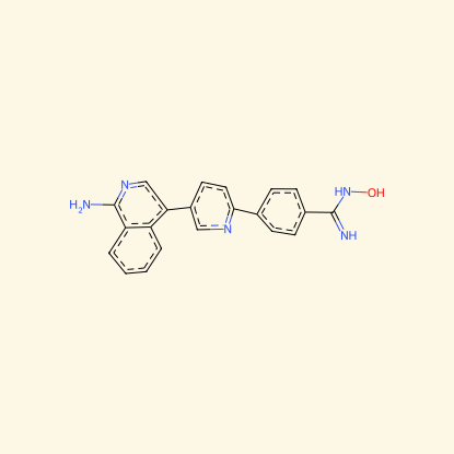 N=C(NO)c1ccc(-c2ccc(-c3cnc(N)c4ccccc34)cn2)cc1